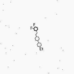 CCC1CCC(C2CCC(CCc3ccc(F)c(F)c3)CC2)CC1